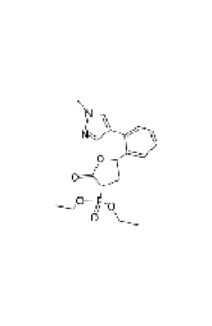 CCOP(=O)(OCC)C1CC(c2ccccc2-c2cnn(C)c2)OC1=O